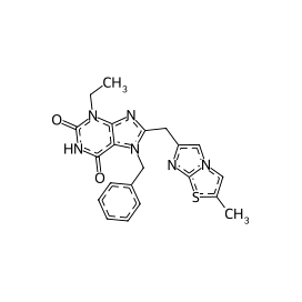 CCn1c(=O)[nH]c(=O)c2c1nc(Cc1cn3cc(C)sc3n1)n2Cc1ccccc1